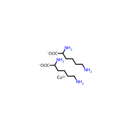 NCCCCC(N)C(=O)[O-].NCCCCC(N)C(=O)[O-].[Cu+2]